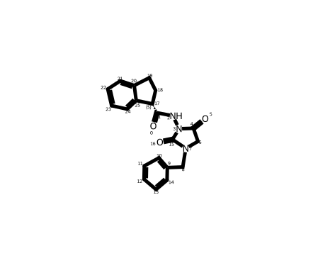 O=C(NN1C(=O)CN(Cc2ccccc2)C1=O)[C@H]1CCc2ccccc21